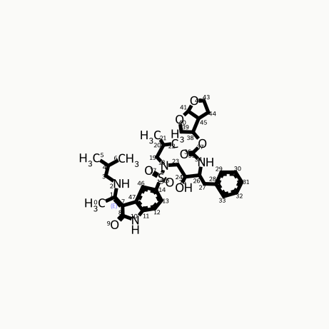 C/C(NCC(C)C)=C1\C(=O)Nc2ccc(S(=O)(=O)N(CC(C)C)CC(O)C(Cc3ccccc3)NC(=O)OC3COC4OCCC34)cc21